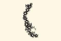 Cc1c(C(=O)Nc2cc(N3CCCC3)ccn2)ccc(-c2nn3c(c2C(N)=O)Nc2ccc(N4CCN(CC5CCN(c6ccc(N7CCC(=O)NC7=O)cc6)CC5)CC4)cc2CC3)c1F